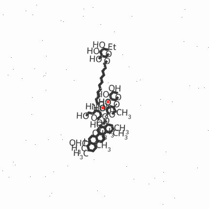 CCC1O[C@@H](OCCCCCCCCCCCC(=O)N[C@H]2C(CO)O[C@@H](OC(=O)[C@]34CCC(C)(C)CC3C3=CCC5C6(C)CC[C@H](C)[C@](C)(C=O)[C@@H]6CCC5(C)[C@]3(C)CC4O)C(O[C@@H]3OC(C)[C@H](O[C@@H]4OC[C@@H](O)C(O)C4O)C(O)C3O)C2O)C(O)C(O)[C@H]1O